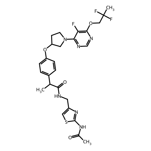 CC(=O)Nc1nc(CNC(=O)C(C)c2ccc(OC3CCN(c4ncnc(OCC(C)(F)F)c4F)C3)cc2)cs1